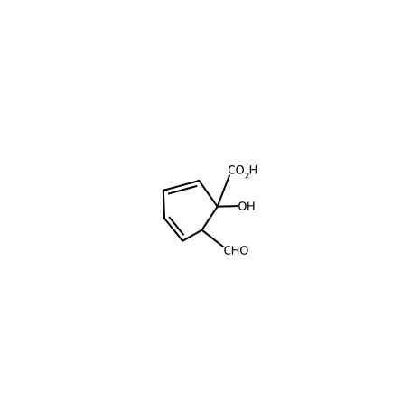 O=CC1C=CC=CC1(O)C(=O)O